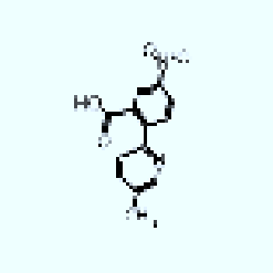 Cc1ccc(-c2ccc([N+](=O)[O-])cc2C(=O)O)nc1